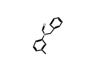 Cc1cccc(N([C]=O)Cc2ccccc2)c1